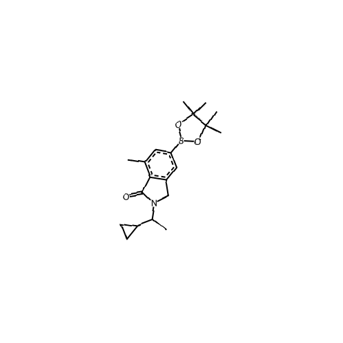 Cc1cc(B2OC(C)(C)C(C)(C)O2)cc2c1C(=O)N(C(C)C1CC1)C2